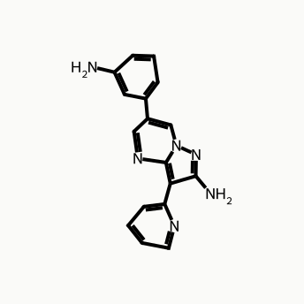 Nc1cccc(-c2cnc3c(-c4ccccn4)c(N)nn3c2)c1